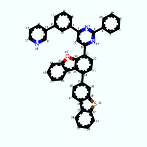 c1ccc(-c2nc(-c3cccc(-c4cccnc4)c3)cc(-c3ccc(-c4ccc5c(c4)sc4ccccc45)c4c3oc3ccccc34)n2)cc1